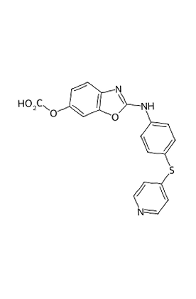 O=C(O)Oc1ccc2nc(Nc3ccc(Sc4ccncc4)cc3)oc2c1